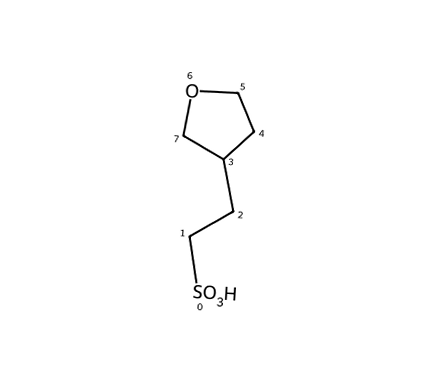 O=S(=O)(O)CCC1CCOC1